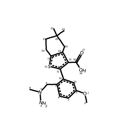 COc1ccc(CN(C)N)c(-c2sc3c(c2C(=O)O)CC(C)(C)CC3)c1